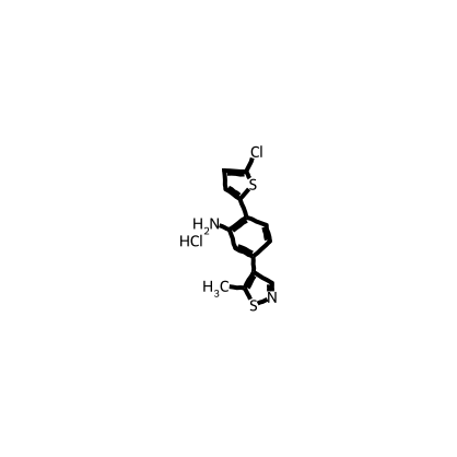 Cc1sncc1-c1ccc(-c2ccc(Cl)s2)c(N)c1.Cl